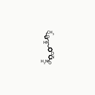 CCc1ccc(CNCCc2ccc(Oc3ccc(C(N)=O)cn3)cc2)o1